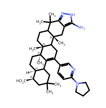 CC1(C)CC2C3=C(c4ccc(N5CCCC5)nc4)CC4[C@@]5(C)Cc6c(n[nH]c6N)C(C)(C)C5CC[C@@]4(C)[C@]3(C)CC[C@@H]2[C@H](C(=O)O)C1